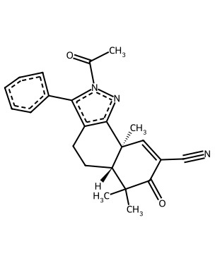 CC(=O)n1nc2c(c1-c1ccccc1)CC[C@H]1C(C)(C)C(=O)C(C#N)=C[C@]21C